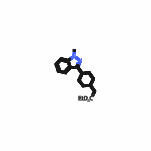 CCOC(=O)CC1CCC(c2nn(C)c3ccccc23)CC1